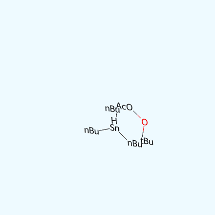 CC(=O)OOC(C)(C)C.CCC[CH2][SnH]([CH2]CCC)[CH2]CCC